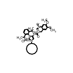 COc1cc(COC(=O)Oc2cn(C3CCCCCCCCCCC3)[c](=[Au+][Cl])n2-c2c(C(C)C)cccc2C(C)C)c([N+](=O)[O-])cc1OC